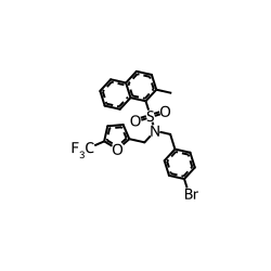 Cc1ccc2ccccc2c1S(=O)(=O)N(Cc1ccc(Br)cc1)Cc1ccc(C(F)(F)F)o1